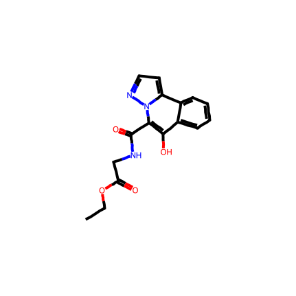 CCOC(=O)CNC(=O)c1c(O)c2ccccc2c2ccnn12